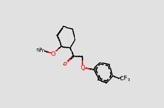 [CH2]CCOC1CCCCC1C(=O)COc1ccc(C(F)(F)F)cc1